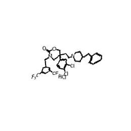 Cl.O=C1OCC(CCN2CCC(Cc3ccccc3)CC2)(c2ccc(Cl)c(Cl)c2)CN1Cc1cc(C(F)(F)F)cc(C(F)(F)F)c1